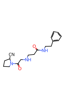 N#CC1CCCN1C(=O)CNCCC(=O)NCCc1ccccc1